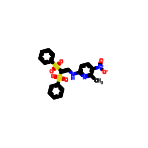 Cc1nc(NC=C(S(=O)(=O)c2ccccc2)S(=O)(=O)c2ccccc2)ccc1[N+](=O)[O-]